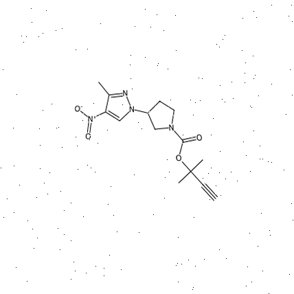 C#CC(C)(C)OC(=O)N1CCC(n2cc([N+](=O)[O-])c(C)n2)C1